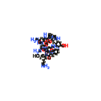 CC(C)[C@H](NC(=O)[C@H](Cc1ccc(O)cc1)N[N+](=O)[O-])C(=O)N[C@@H](CC(N)=O)C(=O)N[C@@H](CC(N)=O)C(=O)N[C@@H](CC(N)=O)C(=O)N[C@@H](Cc1ccccc1)C(=O)N[C@@H](CCCCN)C(=O)O